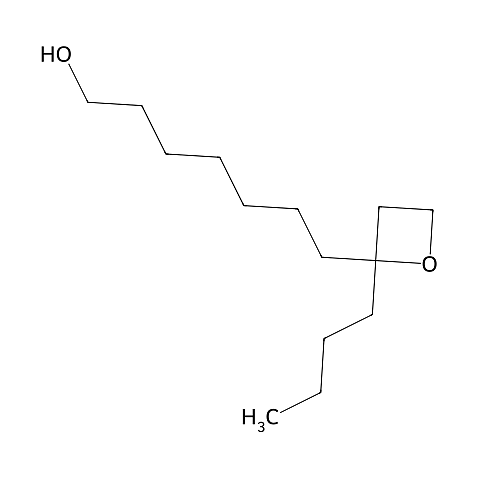 CCCCC1(CCCCCCCO)CCO1